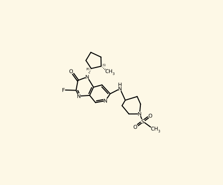 C[C@H]1CCC[C@H]1n1c(=O)c(F)nc2cnc(NC3CCN(S(C)(=O)=O)CC3)cc21